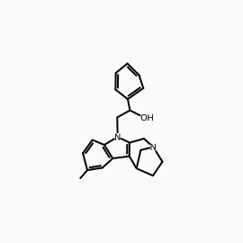 Cc1ccc2c(c1)c1c(n2CC(O)c2ccccc2)CN2CCC1C2